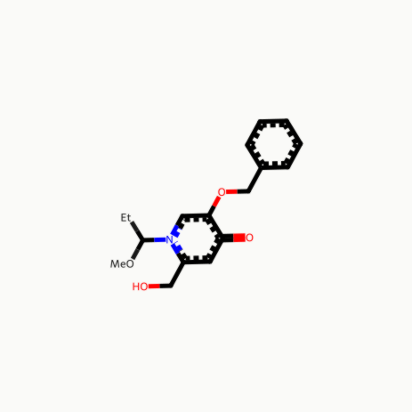 CCC(OC)n1cc(OCc2ccccc2)c(=O)cc1CO